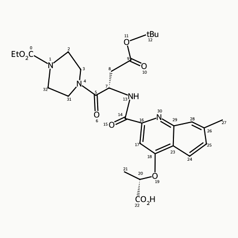 CCOC(=O)N1CCN(C(=O)[C@H](CC(=O)OC(C)(C)C)NC(=O)c2cc(O[C@@H](C)C(=O)O)c3ccc(C)cc3n2)CC1